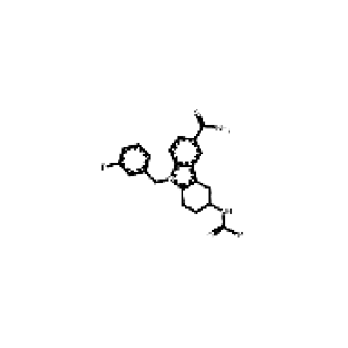 CC(C)C(=O)NC1CCc2c(c3cc(C(N)=S)ccc3n2Cc2cccc(F)c2)C1